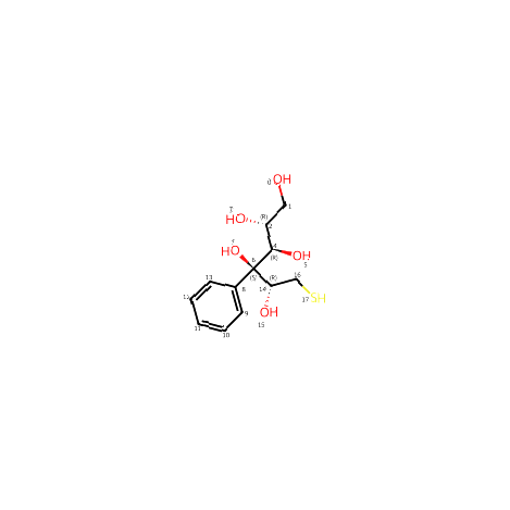 OC[C@@H](O)[C@@H](O)[C@@](O)(c1ccccc1)[C@@H](O)CS